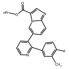 CCCOC(=O)c1cnc2ccc(-c3cccnc3-c3ccc(F)c(C)c3)cn12